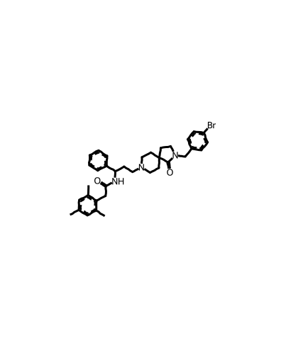 Cc1cc(C)c(CC(=O)NC(CCN2CCC3(CC2)CCN(Cc2ccc(Br)cc2)C3=O)c2ccccc2)c(C)c1